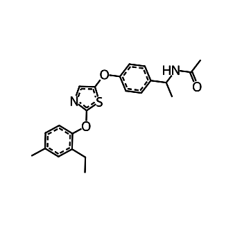 CCc1cc(C)ccc1Oc1ncc(Oc2ccc(C(C)NC(C)=O)cc2)s1